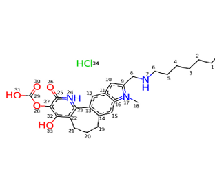 CCCCCCCNCc1cc2cc3c(cc2n1C)CCCc1c-3[nH]c(=O)c(OC(=O)O)c1O.Cl